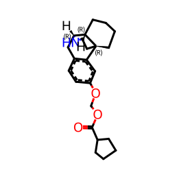 O=C(OCOc1ccc2c(c1)[C@@]13CCCC[C@H]1[C@@H](C2)NCC3)C1CCCC1